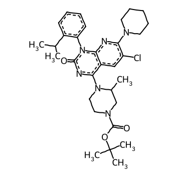 CC(C)c1ccccc1-n1c(=O)nc(N2CCN(C(=O)OC(C)(C)C)CC2C)c2cc(Cl)c(N3CCCCC3)nc21